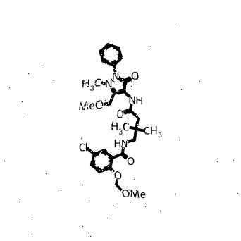 COCOc1ccc(Cl)cc1C(=O)NCC(C)(C)CC(=O)Nc1c(COC)n(C)n(-c2ccccc2)c1=O